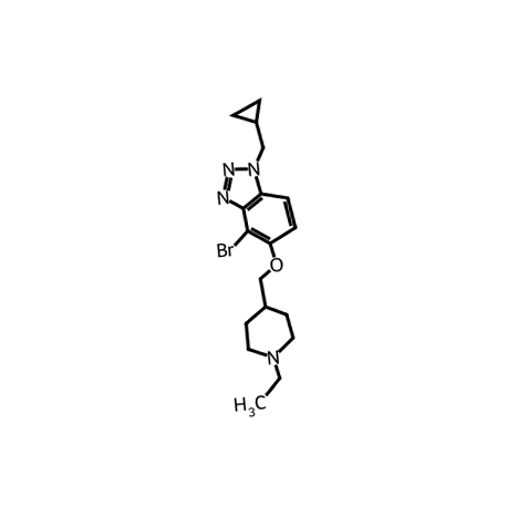 CCN1CCC(COc2ccc3c(nnn3CC3CC3)c2Br)CC1